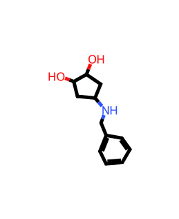 OC1CC(NCc2ccccc2)CC1O